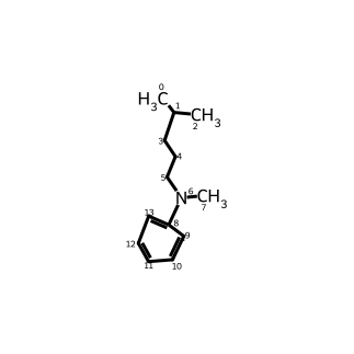 CC(C)CCCN(C)c1[c]cccc1